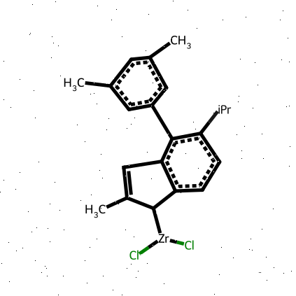 CC1=Cc2c(ccc(C(C)C)c2-c2cc(C)cc(C)c2)[CH]1[Zr]([Cl])[Cl]